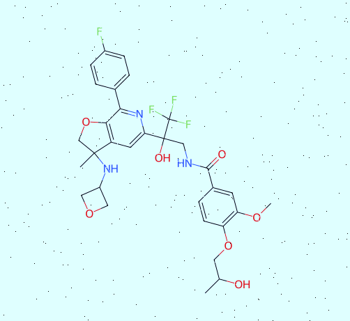 COc1cc(C(=O)NCC(O)(c2cc3c(c(-c4ccc(F)cc4)n2)OCC3(C)NC2COC2)C(F)(F)F)ccc1OCC(C)O